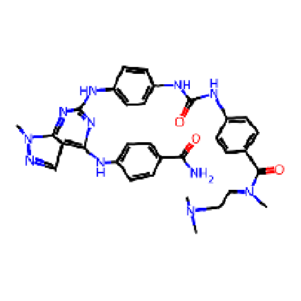 CN(C)CCN(C)C(=O)c1ccc(NC(=O)Nc2ccc(Nc3nc(Nc4ccc(C(N)=O)cc4)c4cnn(C)c4n3)cc2)cc1